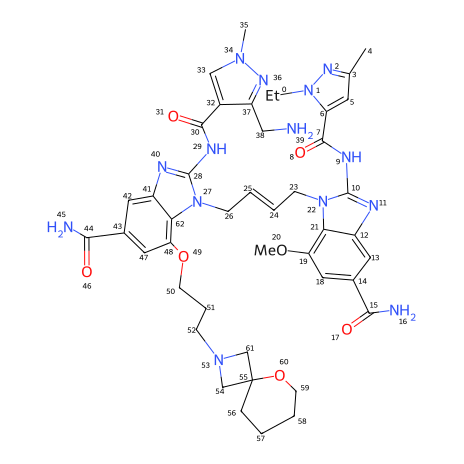 CCn1nc(C)cc1C(=O)Nc1nc2cc(C(N)=O)cc(OC)c2n1C/C=C/Cn1c(NC(=O)c2cn(C)nc2CN)nc2cc(C(N)=O)cc(OCCCN3CC4(CCCCO4)C3)c21